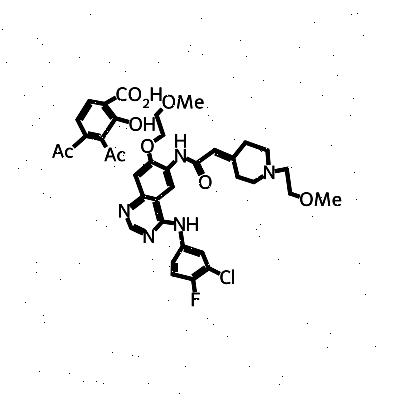 CC(=O)c1ccc(C(=O)O)c(O)c1C(C)=O.COCCOc1cc2ncnc(Nc3ccc(F)c(Cl)c3)c2cc1NC(=O)C=C1CCN(CCOC)CC1